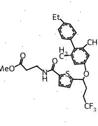 CCc1ccc(-c2c(C)cc(OC(CCC(F)(F)F)c3ccc(C(=O)NCCC(=O)OC)s3)cc2C)cc1